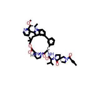 CC#CC(=O)N1CC[C@]2(CCN(C(C(=O)N[C@H]3Cc4cccc(c4)-c4ccc5c(c4)c(c(-c4cccnc4[C@H](C)OC)n5CC)CC(C)(C)COC(=O)[C@@H]4CCCN(N4)C3=O)C(C)C)C2=O)C1